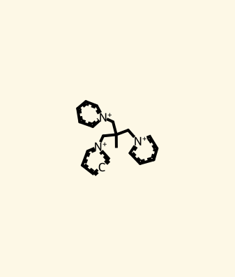 CC(C[n+]1ccccc1)(C[n+]1ccccc1)C[n+]1ccccc1